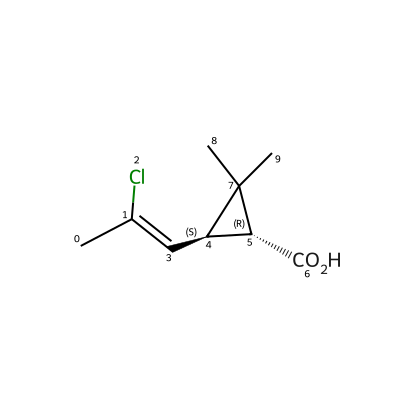 CC(Cl)=C[C@@H]1[C@@H](C(=O)O)C1(C)C